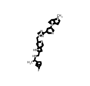 CC(NCc1cc2cnc(Cn3cnc(-c4cncc(-n5ccc6c5ccn6C)c4)n3)cc2[nH]1)C12CC(F)C(C1)C2